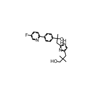 CC(C)(CO)Cc1c[nH]c(CC(C)(O)c2ccc(-c3ccc(F)cn3)cc2)n1